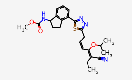 CC/C(C#N)=C(\C=C/Cc1nnc(-c2cccc3c2CCC3NC(=O)OC)s1)OC(C)C